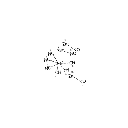 N#[C][Fe-3]([C]#N)([C]#N)([C]#N)([C]#N)[C]#N.O=[N][Zn+].O=[N][Zn+].O=[N][Zn+]